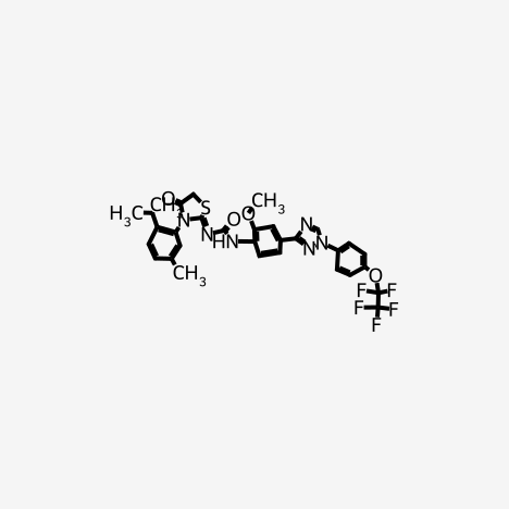 COc1cc(-c2ncn(-c3ccc(OC(F)(F)C(F)(F)F)cc3)n2)ccc1NC(=O)/N=C1\SCC(=O)N1c1cc(C)ccc1C(C)C